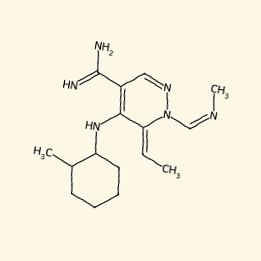 CC=C1C(NC2CCCCC2C)=C(C(=N)N)C=NN1/C=N\C